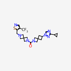 O=C(N1CC2(CC(n3cnc(C4CC4)n3)C2)C1)N1CC2(CN(Cc3sncc3C(F)(F)F)C2)C1